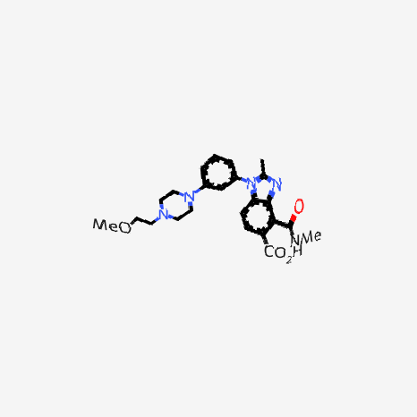 CNC(=O)c1c(C(=O)O)ccc2c1nc(C)n2-c1cccc(N2CCN(CCOC)CC2)c1